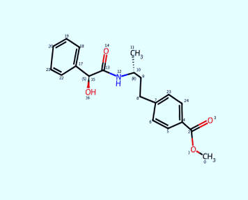 COC(=O)c1ccc(CC[C@@H](C)NC(=O)[C@@H](O)c2ccccc2)cc1